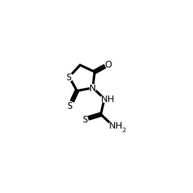 NC(=S)NN1C(=O)CSC1=S